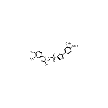 COc1ccc(-c2ncc(S(=O)(=O)NCP(=O)(O)Oc3ccc(C#N)c(C(F)(F)F)c3)s2)cc1OC